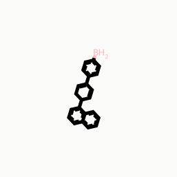 Bc1ccc(C2=CCC(c3cccc4ccccc34)C=C2)cc1